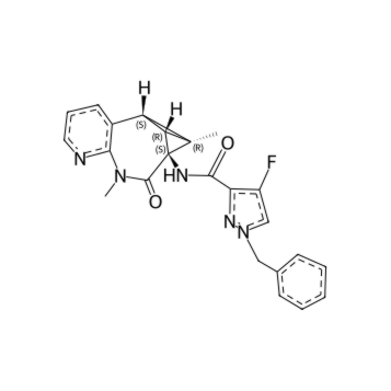 CN1C(=O)[C@]2(NC(=O)c3nn(Cc4ccccc4)cc3F)[C@@H]3[C@H](c4cccnc41)[C@]32C